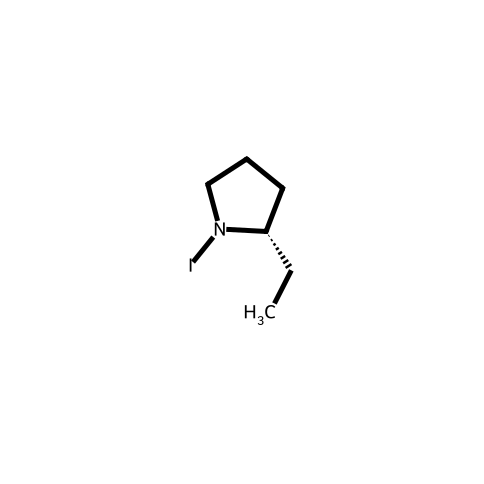 CC[C@H]1CCCN1I